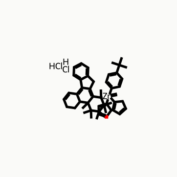 Cl.Cl.[CH2]=[Zr]([C]1=CC=CC1)([C]1=CC=CC1)([c]1ccc(C(C)(C)C)cc1)[C]1(C)C2=C3Cc4ccccc4C3=C3C=CCCC3C2(C)C(C)(C)C(C)(C)C1(C)C